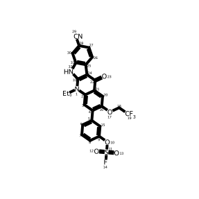 CCn1c2cc(-c3cccc(OS(=O)(=O)F)c3)c(OCC(F)(F)F)cc2c(=O)c2c3ccc(C#N)cc3[nH]c21